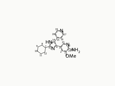 COc1cc(-c2nc(C3CCCCC3)[nH]c2-c2ccncc2)cnc1N